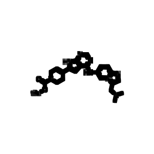 CN(C)Cc1cnc2ccc(Nc3ncnc4[nH]c(C5=CCN(C(=O)OC(C)(C)C)CC5)cc34)cn12